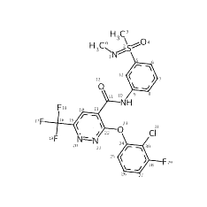 CN=S(C)(=O)c1cccc(NC(=O)c2cc(C(F)(F)F)nnc2Oc2cccc(F)c2Cl)c1